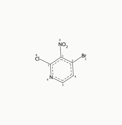 O=[N+]([O-])c1c(Br)ccnc1Cl